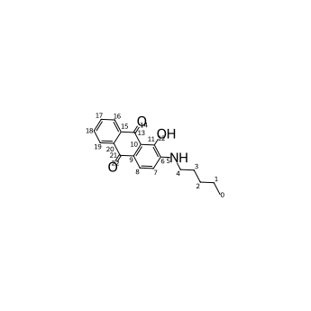 CCCCCNc1ccc2c(c1O)C(=O)c1ccccc1C2=O